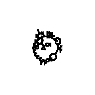 Cc1nc2c3cc(C4(C#N)CC4)c(=O)n(c3n1)CCCCCCC(F)(F)CN1CCC(CC1)C(F)(F)c1cccc(c1)[C@@H](C)N2